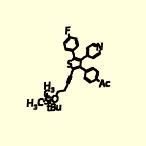 CC(=O)c1ccc(-c2c(C#CCCO[Si](C)(C)C(C)(C)C)sc(-c3ccc(F)cc3)c2-c2ccncc2)cc1